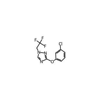 FC(F)(F)Cn1cnc(Oc2cccc(Cl)c2)n1